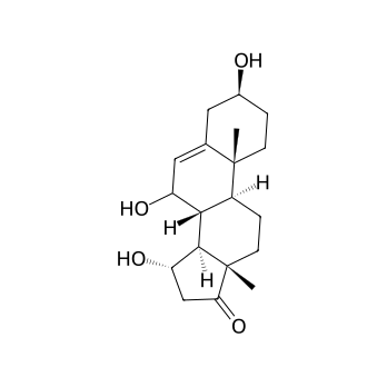 C[C@]12CC[C@H](O)CC1=CC(O)[C@H]1[C@@H]3[C@@H](O)CC(=O)[C@@]3(C)CC[C@@H]12